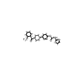 O=C(Nc1nccs1)Oc1ccc(N2CCN(C(=O)c3ccccc3C(F)(F)F)CC2)nn1